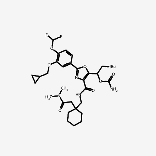 CN(C)C(=O)CC1(CNC(=O)c2nc(-c3ccc(OC(F)F)c(OCC4CC4)c3)oc2C(CC(C)(C)C)OC(N)=O)CCCCC1